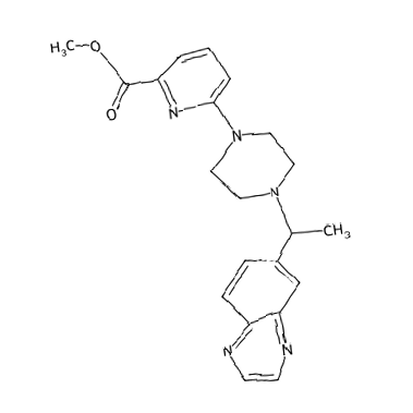 COC(=O)c1cccc(N2CCN(C(C)c3ccc4nccnc4c3)CC2)n1